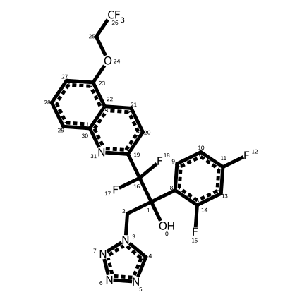 OC(Cn1cnnn1)(c1ccc(F)cc1F)C(F)(F)c1ccc2c(OCC(F)(F)F)cccc2n1